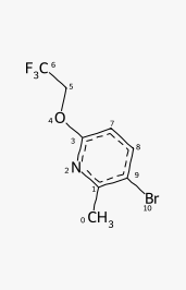 Cc1nc(OCC(F)(F)F)ccc1Br